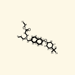 CCCN(CCC(=O)OCC)Cc1ccc2cc(OC3CCC(C(C)(C)C)CC3)ccc2c1